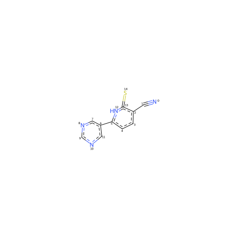 N#Cc1ccc(-c2cncnc2)[nH]c1=S